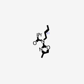 C/C=C/CN(C(=O)C(C)C)c1nc(C)co1